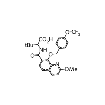 COc1ccc2ccc(C(=O)NC(C(=O)O)C(C)(C)C)c(OCc3ccc(OC(F)(F)F)cc3)c2n1